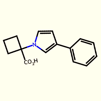 O=C(O)C1(n2ccc(-c3ccccc3)c2)CCC1